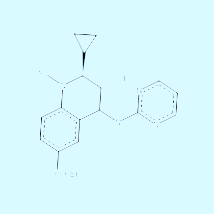 CCOC(=O)c1ccc2c(c1)C(Nc1ncccn1)[C@@H](C)[C@H](C1CC1)N2C(C)=O